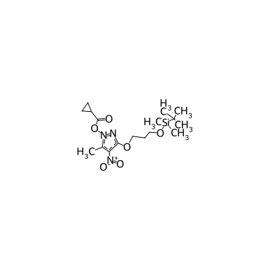 Cc1c([N+](=O)[O-])c(OCCCO[Si](C)(C)C(C)(C)C)nn1OC(=O)C1CC1